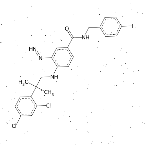 CC(C)(CNc1ccc(C(=O)NCc2ccc(I)cc2)cc1N=N)c1ccc(Cl)cc1Cl